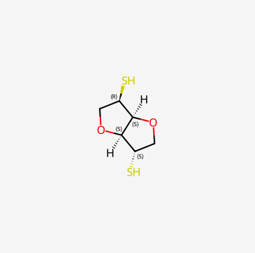 S[C@@H]1CO[C@H]2[C@@H]1OC[C@@H]2S